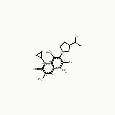 COc1c(N2CC[C@@H]([C@H](C)N)C2)c(F)cc2cc(C(=O)O)c(=O)n(C3CC3)c12.Cl